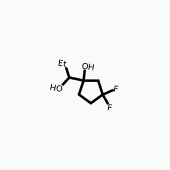 [CH2]CC(O)C1(O)CCC(F)(F)C1